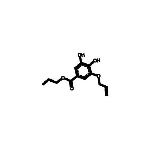 C=CCOc1cc(C(=O)OCCC)cc(O)c1O